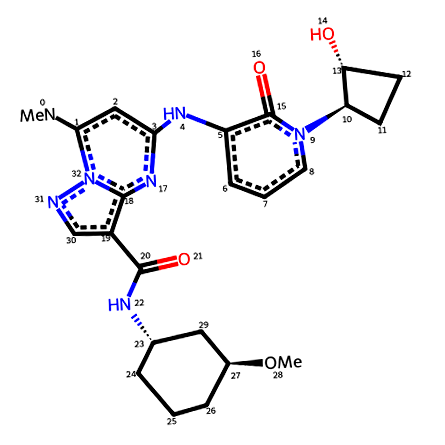 CNc1cc(Nc2cccn([C@@H]3CC[C@H]3O)c2=O)nc2c(C(=O)N[C@H]3CCC[C@H](OC)C3)cnn12